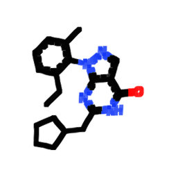 CCc1cccc(C)c1-n1ncc2c(=O)[nH]c(CC3CCCC3)nc21